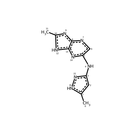 Cc1cc(Nc2cnc3nc(C)[nH]c3n2)n[nH]1